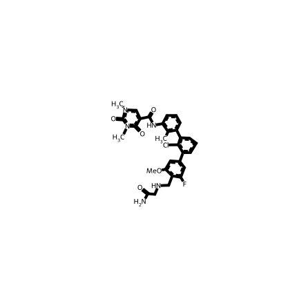 COc1cc(-c2cccc(-c3cccc(NC(=O)c4cn(C)c(=O)n(C)c4=O)c3C)c2Cl)cc(F)c1CNCC(N)=O